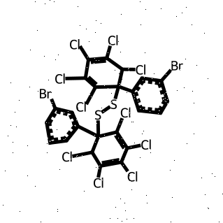 ClC1=C(Cl)C(Cl)C(SSC2(c3cccc(Br)c3)C(Cl)=C(Cl)C(Cl)=C(Cl)C2Cl)(c2cccc(Br)c2)C(Cl)=C1Cl